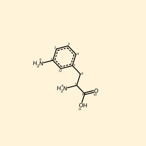 Nc1cccc(CC(N)C(=O)O)c1